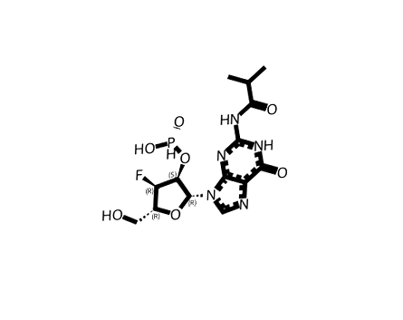 CC(C)C(=O)Nc1nc2c(ncn2[C@@H]2O[C@H](CO)[C@@H](F)[C@H]2O[PH](=O)O)c(=O)[nH]1